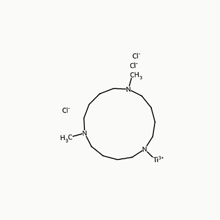 CN1CCCCN(C)CCCC[N]([Ti+3])CCCC1.[Cl-].[Cl-].[Cl-]